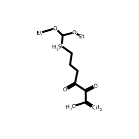 C=C(C)C(=O)C(=O)CCC[SiH2]C(OCC)OCC